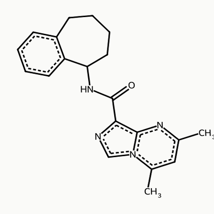 Cc1cc(C)n2cnc(C(=O)NC3CCCCc4ccccc43)c2n1